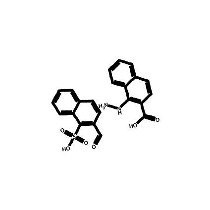 NNc1c(C(=O)O)ccc2ccccc12.O=Cc1ccc2ccccc2c1S(=O)(=O)O